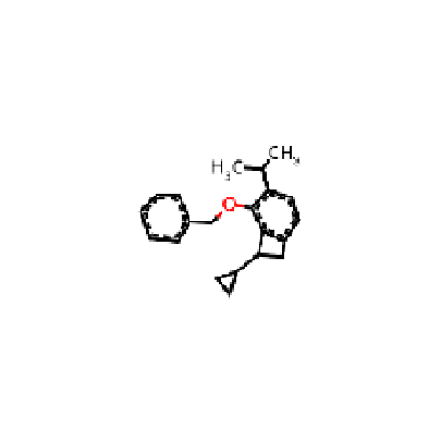 CC(C)c1ccc2c(c1OCc1ccccc1)C(C1CC1)C2